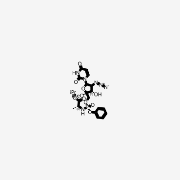 CO[C@]1(COP(=O)(N[C@H](C)C(=O)OC(C)C)Oc2ccccc2)OC(n2ccc(=O)[nH]c2=O)C(N=[N+]=[N-])[C@@H]1O